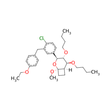 CCCCO[C@@H]1[C@@H](OCCCC)[C@H](c2ccc(Cl)c(Cc3ccc(OCC)cc3)c2)O[C@]2(OC)CC[C@H]12